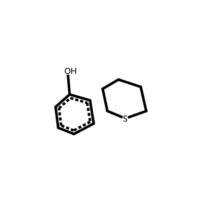 C1CCSCC1.Oc1ccccc1